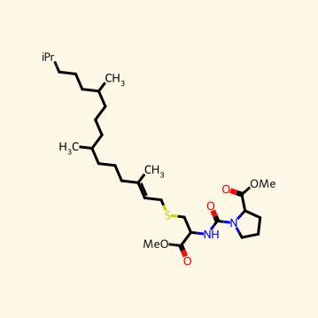 COC(=O)C(CSC/C=C(\C)CCCC(C)CCCC(C)CCCC(C)C)NC(=O)N1CCCC1C(=O)OC